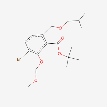 COCOc1c(Br)ccc(COCC(C)C)c1C(=O)OC(C)(C)C